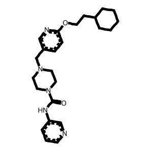 O=C(Nc1cccnc1)N1CCN(Cc2ccc(OCCC3CCCCC3)nc2)CC1